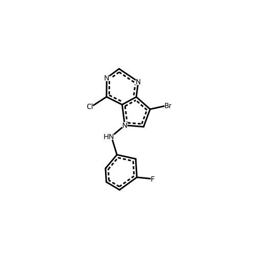 Fc1cccc(Nn2cc(Br)c3ncnc(Cl)c32)c1